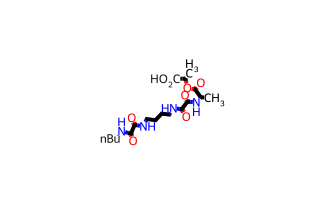 CCCCNC(=O)C(=O)NCCCCNC(=O)C(=O)NC(C)C(=O)OC(C)C(=O)O